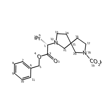 CC(C)[C@@H](C(=O)OCc1ccccc1)N1CCC2(CCN(C(=O)O)C2)C1